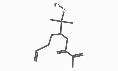 C=CCCC(CC(=C)C(=C)C)C(C)(C)SC(C)C